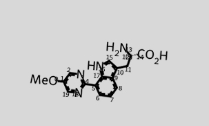 COc1cnc(-c2cccc3c(C[C@H](N)C(=O)O)c[nH]c23)nc1